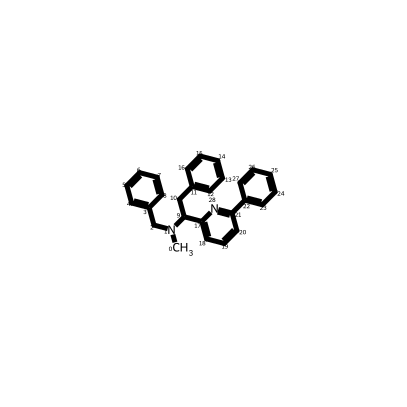 CN(Cc1ccccc1)C(Cc1ccccc1)c1cccc(-c2ccccc2)n1